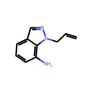 C=CCn1ncc2cccc(N)c21